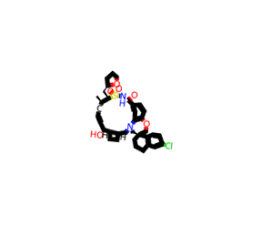 C[C@@H]1C/C=C\[C@H](O)[C@@H]2CC[C@H]2CN2C[C@@]3(CCCc4cc(Cl)ccc43)COc3ccc(cc32)C(=O)NS(=O)(=O)[C@@H]1C[C@@H]1CCCO1